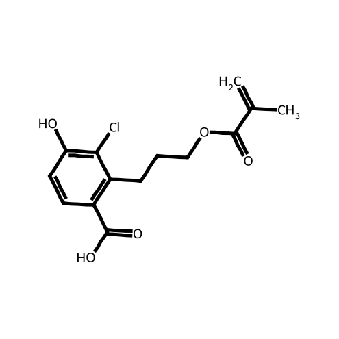 C=C(C)C(=O)OCCCc1c(C(=O)O)ccc(O)c1Cl